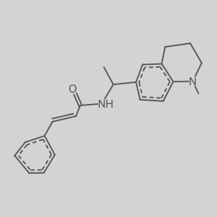 CC(NC(=O)C=Cc1ccccc1)c1ccc2c(c1)CCCN2C